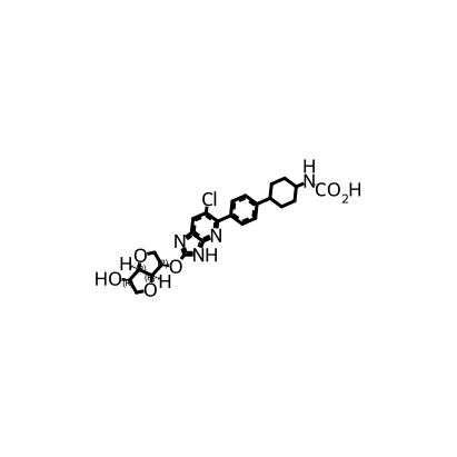 O=C(O)NC1CCC(c2ccc(-c3nc4[nH]c(O[C@@H]5CO[C@H]6[C@@H]5OC[C@H]6O)nc4cc3Cl)cc2)CC1